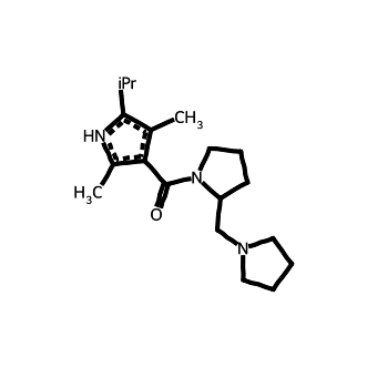 Cc1[nH]c(C(C)C)c(C)c1C(=O)N1CCCC1CN1CCCC1